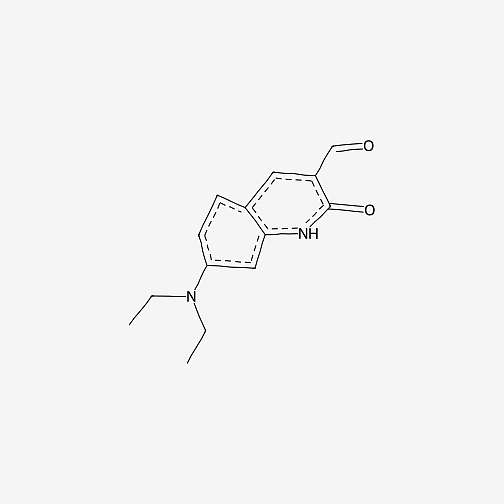 CCN(CC)c1ccc2cc(C=O)c(=O)[nH]c2c1